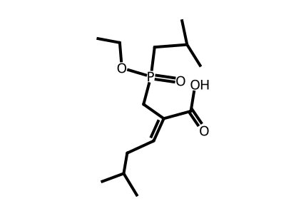 CCOP(=O)(C/C(=C\CC(C)C)C(=O)O)CC(C)C